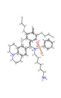 C=c1c(CCCC)cc2c(c1CCCC)Oc1c(cc3c4c1CCCN4CCC3)C=2N(CCCCCCN)S(=O)(=O)c1ccccc1